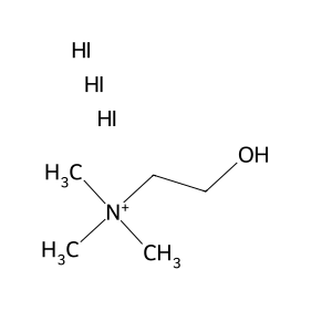 C[N+](C)(C)CCO.I.I.I